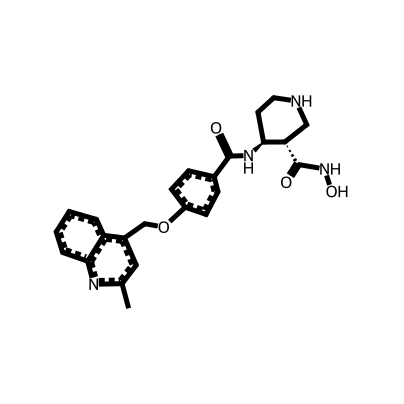 Cc1cc(COc2ccc(C(=O)N[C@H]3CCNC[C@@H]3C(=O)NO)cc2)c2ccccc2n1